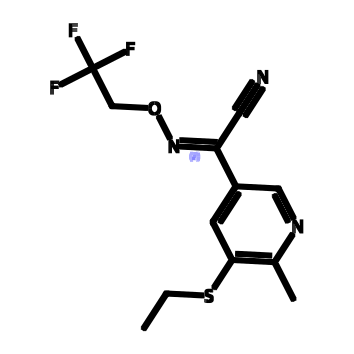 CCSc1cc(/C(C#N)=N/OCC(F)(F)F)cnc1C